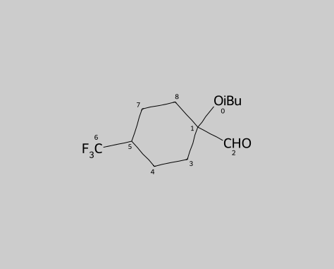 CC(C)COC1(C=O)CCC(C(F)(F)F)CC1